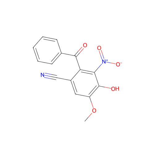 COc1cc(C#N)c(C(=O)c2ccccc2)c([N+](=O)[O-])c1O